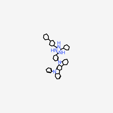 C1=CC(N2C3=CC4C(CC3C3C=CCCC32)C2CCCCC2N4C2=CC(C3NC(C4CCCCC4)NC(C4CCC(C5CCCCC5)CC4)N3)CCC2)=CCC1